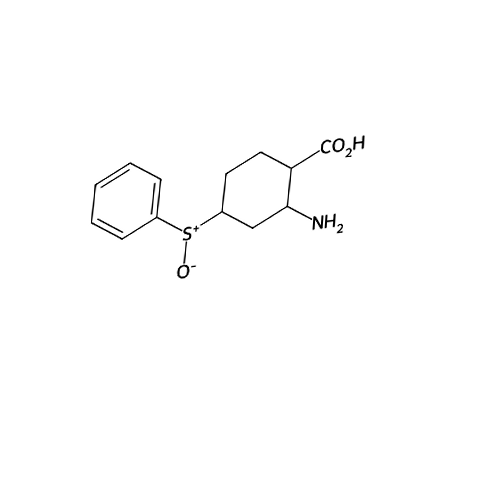 NC1CC([S+]([O-])c2ccccc2)CCC1C(=O)O